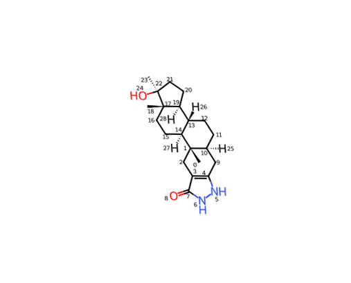 C[C@]12Cc3c([nH][nH]c3=O)C[C@@H]1CC[C@@H]1[C@@H]2CC[C@@]2(C)[C@H]1CC[C@]2(C)O